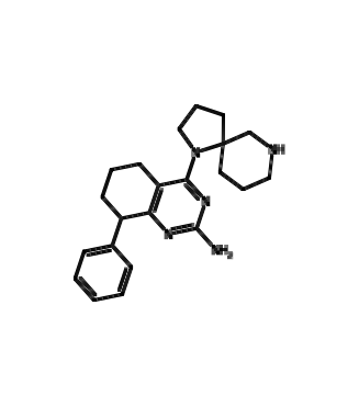 Nc1nc2c(c(N3CCCC34CCCNC4)n1)CCCC2c1ccccc1